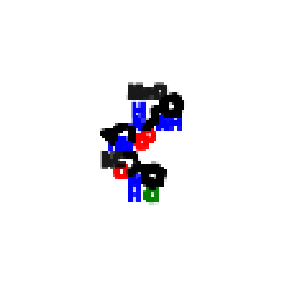 COc1cccc2[nH]c(C(=O)N[C@@H](CC3CC3)C(=O)N[C@H](C#N)C[C@H]3C(=O)Nc4c(Cl)cccc43)cc12